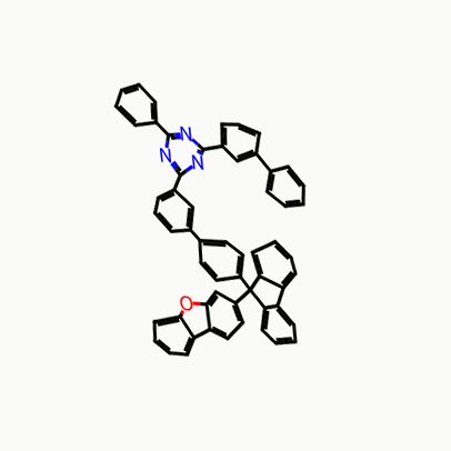 c1ccc(-c2cccc(-c3nc(-c4ccccc4)nc(-c4cccc(-c5ccc(C6(c7ccc8c(c7)oc7ccccc78)c7ccccc7-c7ccccc76)cc5)c4)n3)c2)cc1